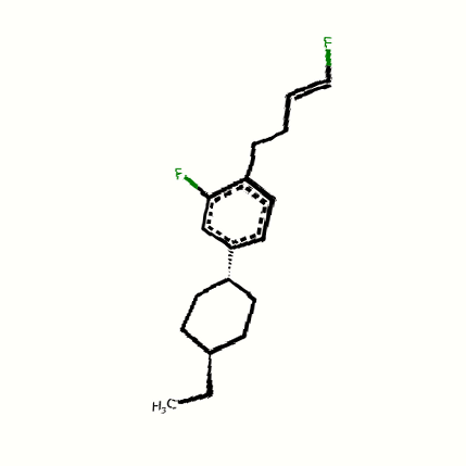 CC[C@H]1CC[C@H](c2ccc(CCC=CF)c(F)c2)CC1